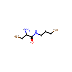 NC(CS)C(=O)NCCCS